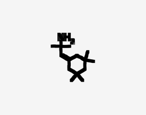 CC(C)(N)C=C1CC(C)(C)CC(C)(C)C1